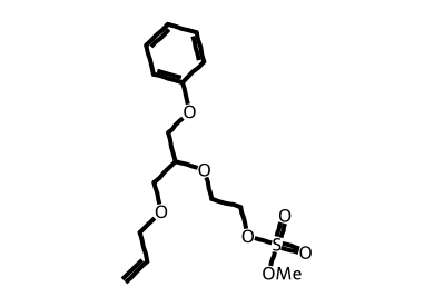 C=CCOCC(COc1ccccc1)OCCOS(=O)(=O)OC